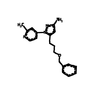 Cc1cc(-n2nc(N)cc2CCCOCc2ccccc2)ccn1